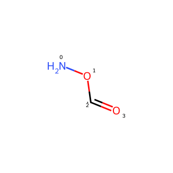 NO[C]=O